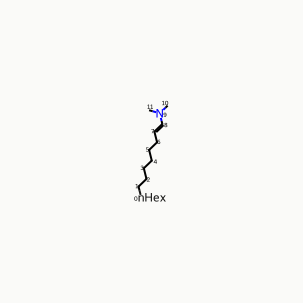 CCCCCCCCCCCCC=CN(C)C